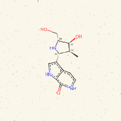 C[C@@H]1[C@H](O)[C@@H](CO)N[C@H]1c1c[nH]c2c(=O)[nH]ccc12